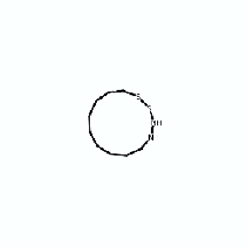 C1CCCCNNSSCCCC1